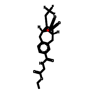 CCOC(=O)CNC(=O)c1ccc2c(c1)C[C@H]1CC[C@@H](C2)[C@]12CN(CC(F)(F)F)S(=O)(=O)N2